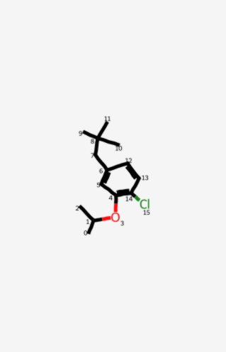 CC(C)Oc1cc(CC(C)(C)C)ccc1Cl